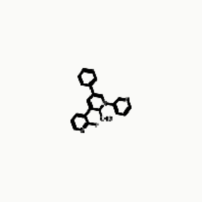 O=CC1C(c2cccnc2F)=CC(c2ccccc2)=CN1c1cccnc1